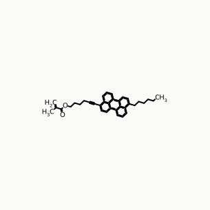 C=C(C)C(=O)OCCCCC#Cc1ccc2c3cccc4c(CCCCCC)ccc(c5cccc1c25)c43